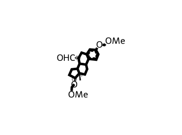 COCOc1ccc2c(c1)C[C@@H](C=O)C1C2CC[C@@]2(C)C1CC[C@@H]2OCOC